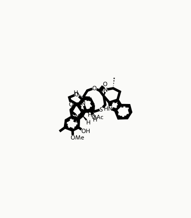 COc1c(C)cc2c(c1O)[C@H]1[C@@H]3[C@@H]4SC[C@]5(N[C@H](C)Cc6c5[nH]c5ccccc65)C(=O)OC[C@@H](c5c6c(c(C)c(OC(C)=O)c54)OCO6)N3C(C)(C2)CN1C